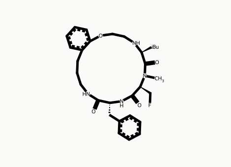 CCC(C)[C@@H]1NCCOc2ccccc2CCCNC(=O)[C@@H](Cc2ccccc2)NC(=O)[C@H](CF)N(C)C1=O